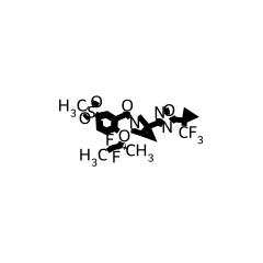 C[C@@H](Oc1ccc(S(C)(=O)=O)cc1C(=O)N1CC2CC2(c2noc(C3(C(F)(F)F)CC3)n2)C1)C(C)(F)F